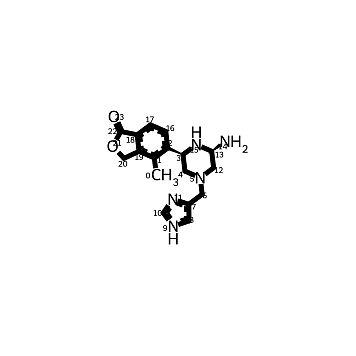 Cc1c([C@@H]2CN(Cc3c[nH]cn3)C[C@H](N)N2)ccc2c1COC2=O